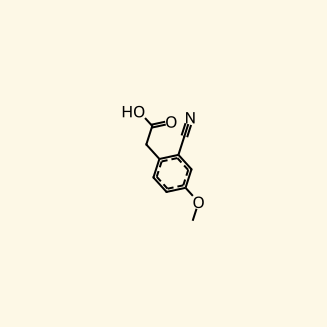 COc1ccc(CC(=O)O)c(C#N)c1